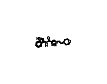 O=C(Nc1c[nH]c2ccccc12)c1cn(CCN2CCOCC2)nn1